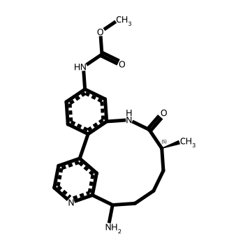 COC(=O)Nc1ccc2c(c1)NC(=O)[C@@H](C)CCCC(N)c1cc-2ccn1